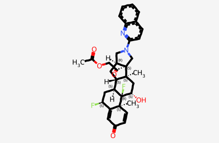 CC(=O)OCC(=O)[C@@]12CN(c3ccc4ccccc4n3)C[C@@H]1C[C@H]1[C@@H]3C[C@H](F)C4=CC(=O)C=C[C@]4(C)[C@@]3(F)[C@@H](O)C[C@@]12C